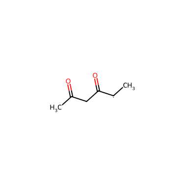 C[CH]C(=O)CC(C)=O